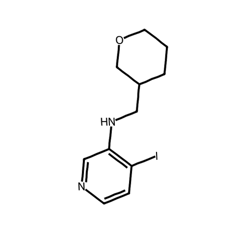 Ic1ccncc1NCC1CCCOC1